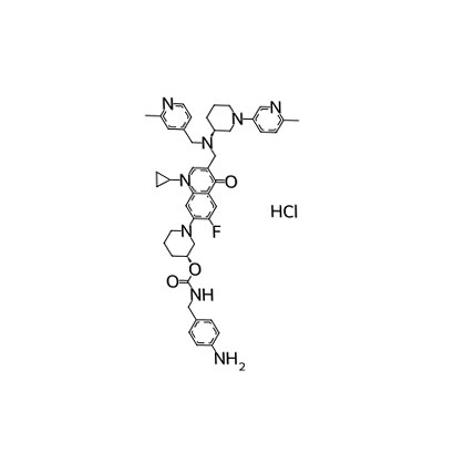 Cc1ccc(N2CCC[C@H](N(Cc3ccnc(C)c3)Cc3cn(C4CC4)c4cc(N5CCC[C@H](OC(=O)NCc6ccc(N)cc6)C5)c(F)cc4c3=O)C2)cn1.Cl